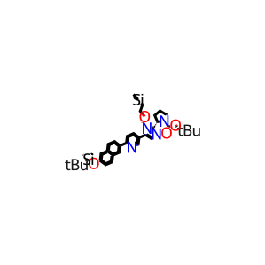 CC(C)(C)OC(=O)N1CCC[C@H]1c1ncc(-c2ccc(-c3ccc4cc(O[Si](C)(C)C(C)(C)C)ccc4c3)nc2)n1COCC[Si](C)(C)C